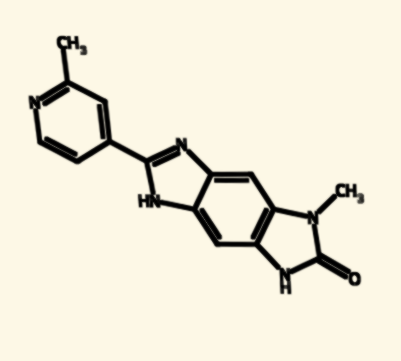 Cc1cc(-c2nc3cc4c(cc3[nH]2)[nH]c(=O)n4C)ccn1